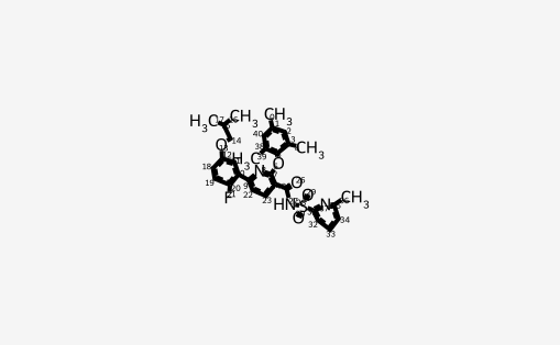 Cc1cc(C)c(Oc2nc(-c3cc(OCC(C)C)ccc3F)ccc2C(=O)NS(=O)(=O)c2cccc(C)n2)c(C)c1